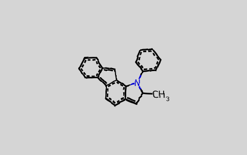 CC1C=c2ccc3c(c2N1c1ccccc1)C=c1ccccc1=3